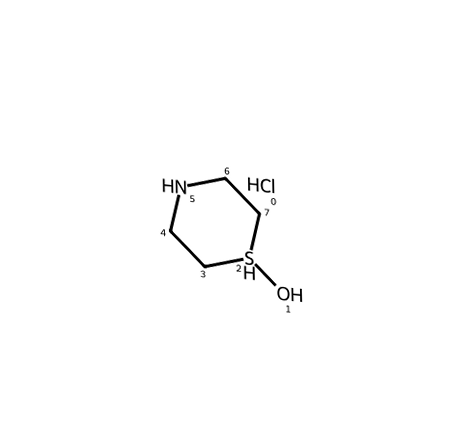 Cl.O[SH]1CCNCC1